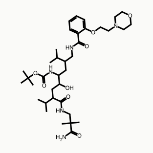 CC(C)C(CNC(=O)c1ccccc1OCCN1CCOCC1)CC(NC(=O)OC(C)(C)C)C(O)CC(C(=O)NCC(C)(C)C(N)=O)C(C)C